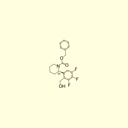 O=C(OCc1ccccc1)N1CCCC[C@@H]1c1cc(F)c(F)c(F)c1CO